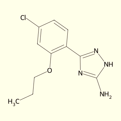 CCCOc1cc(Cl)ccc1-c1n[nH]c(N)n1